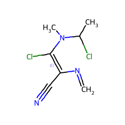 C=N/C(C#N)=C(/Cl)N(C)C(C)Cl